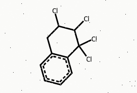 ClC1Cc2ccccc2C(Cl)(Cl)C1Cl